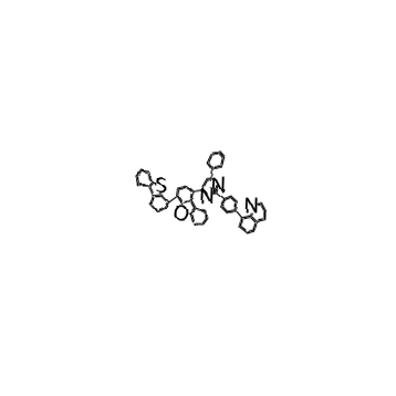 c1ccc(-c2cc(-c3ccc(-c4cccc5c4sc4ccccc45)c4oc5ccccc5c34)nc(-c3ccc(-c4cccc5cccnc45)cc3)n2)cc1